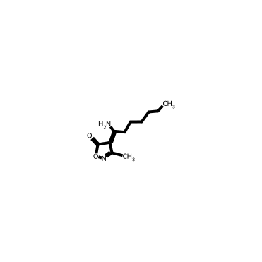 CCCCCCC(N)=C1C(=O)ON=C1C